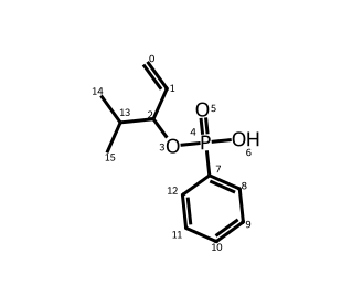 C=CC(OP(=O)(O)c1ccccc1)C(C)C